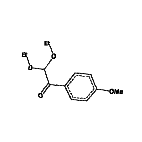 CCOC(OCC)C(=O)c1ccc(OC)cc1